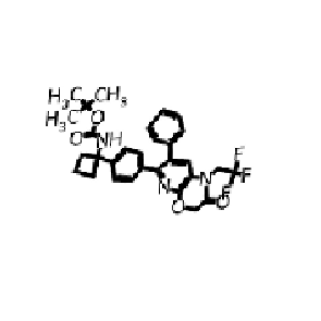 CC(C)(C)OC(=O)NC1(c2ccc(-c3nc4c(cc3-c3ccccc3)N(CC(F)(F)F)C(=O)CO4)cc2)CCC1